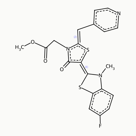 COC(=O)Cn1c(=O)/c(=C2\Sc3cc(F)ccc3N2C)s/c1=C\c1ccncc1